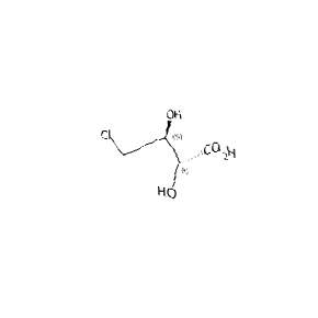 O=C(O)[C@H](O)[C@H](O)CCl